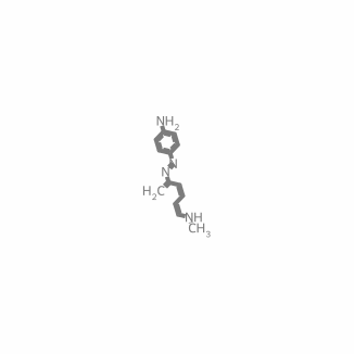 C=C(/C=C\C=C/NC)/N=N/c1ccc(N)cc1